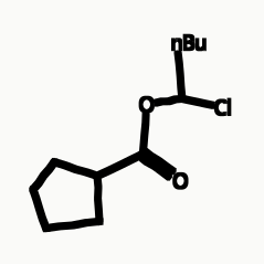 CCCCC(Cl)OC(=O)C1CCCC1